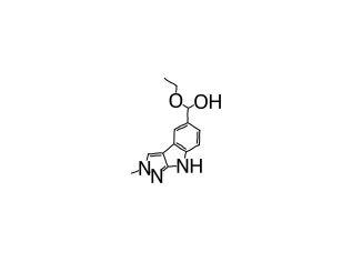 CCOC(O)c1ccc2[nH]c3nn(C)cc3c2c1